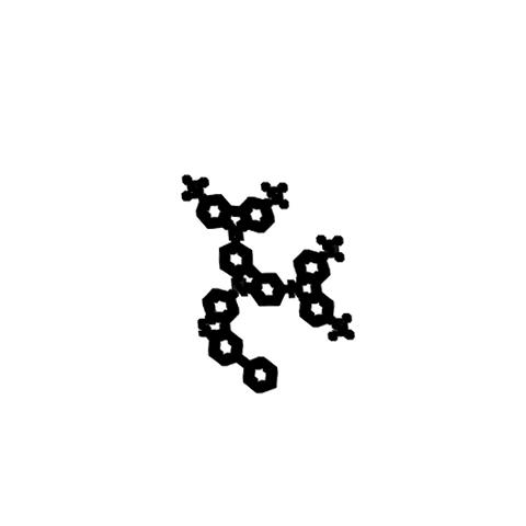 C[Si](C)(C)c1ccc2c(c1)c1cc([Si](C)(C)C)ccc1n2-c1ccc2c(c1)c1cc(-n3c4ccc([Si](C)(C)C)cc4c4cc([Si](C)(C)C)ccc43)ccc1n2-c1ccc2sc3ccc(-c4ccccc4)cc3c2c1